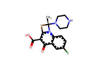 C[C@]1(N2CCNCC2)Sc2c(C(=O)O)c(=O)c3cc(F)ccc3n21